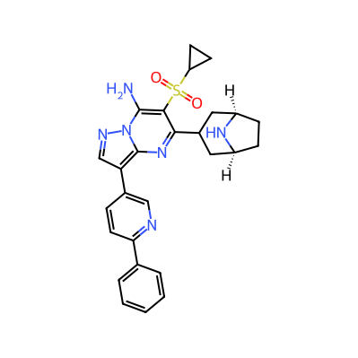 Nc1c(S(=O)(=O)C2CC2)c(C2C[C@H]3CC[C@@H](C2)N3)nc2c(-c3ccc(-c4ccccc4)nc3)cnn12